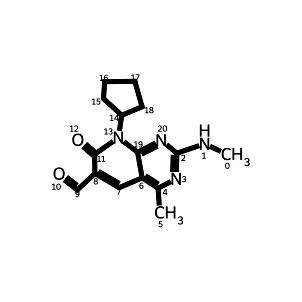 CNc1nc(C)c2cc(C=O)c(=O)n(C3CCCC3)c2n1